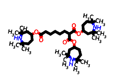 CC1(C)CCC(OC(=O)CCCCCC(C(=O)OC2CCC(C)(C)NC(C)(C)C2)C(=O)OC2CCC(C)(C)NC(C)(C)C2)CC(C)(C)N1